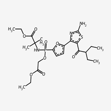 CCOC(=O)COP(=O)(NC(C)(C)C(=O)OCC)c1ccc(-c2nc(N)sc2C(=O)C(CC)CC)o1